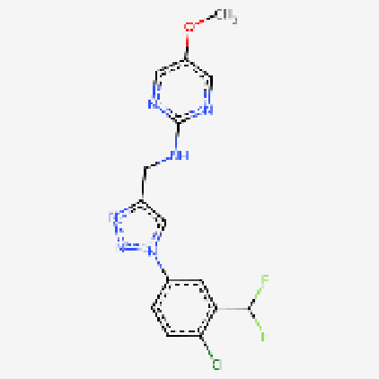 COc1cnc(NCc2cn(-c3ccc(Cl)c(C(F)F)c3)nn2)nc1